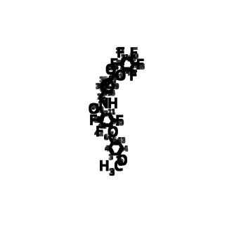 COc1ccc(COc2c(F)cc(C(=O)NCC34CCC(C(=O)Oc5c(F)c(F)c(F)c(F)c5F)(CC3)CC4)c(F)c2F)cc1